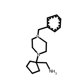 NCC1(N2CCN(Cc3ccccc3)CC2)CCCC1